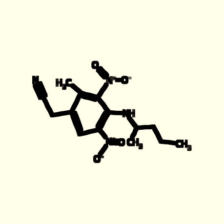 CCCC(C)Nc1c([N+](=O)[O-])cc(CC#N)c(C)c1[N+](=O)[O-]